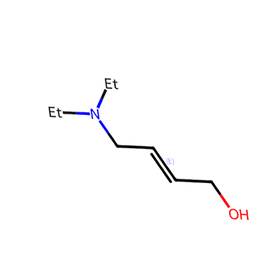 CCN(CC)C/C=C/CO